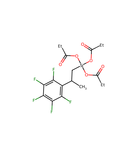 CCC(=O)O[Si](CC(C)c1c(F)c(F)c(F)c(F)c1F)(OC(=O)CC)OC(=O)CC